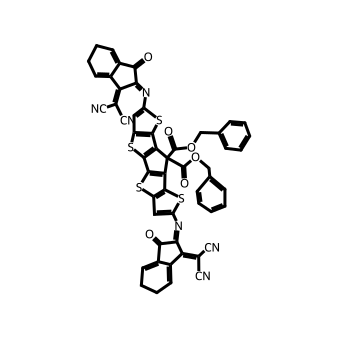 N#CC(C#N)=C1C2=CCCC=C2C(=O)/C1=N\c1cc2sc3c(c2s1)C(C(=O)OCc1ccccc1)(C(=O)OCc1ccccc1)c1c-3sc2cc(/N=C3/C(=O)C4=CCCC=C4C3=C(C#N)C#N)sc12